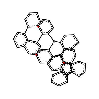 c1ccc(-c2cccc3cccc(-c4ccccc4N(c4ccccc4-c4cccc5oc6ccccc6c45)c4ccccc4-c4cccc5oc6ccccc6c45)c23)cc1